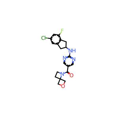 O=C(c1cnc(NC2Cc3cc(Cl)cc(F)c3C2)nc1)N1CCC12COC2